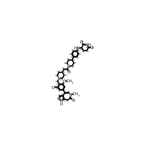 COc1cc(C2=CN(C)C(=O)Cc3[nH]ncc32)cc(Cl)c1CN1CCC(CC(=O)N2CCC(c3ccc(NC4CCC(=O)NC4=O)cc3)CC2)CC1